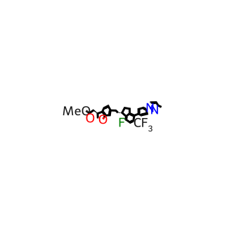 COC(=O)C[C@@H]1COc2cc(CC[C@@H]3CCc4c(-c5ccc(-n6ccc(C)n6)cc5)c(C(F)(F)F)cc(F)c43)ccc21